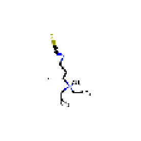 CC[N+](C)(CC)CCCN=C=S.[I-]